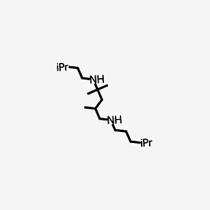 CC(C)CCCNCC(C)CC(C)(C)NCCC(C)C